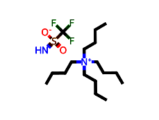 CCCC[N+](CCCC)(CCCC)CCCC.N=S(=O)([O-])C(F)(F)F